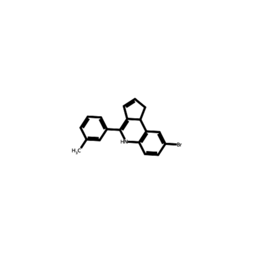 Cc1cccc(C2=C3C=CCC3c3cc(Br)ccc3N2)c1